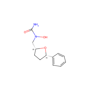 NC(=O)N(O)C[C@H]1CC[C@@H](c2ccccc2)O1